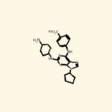 CCOC(=O)c1ccc(Nc2nc(NC3CCC(N)CC3)nc3c2ncn3C2CCCC2)cc1